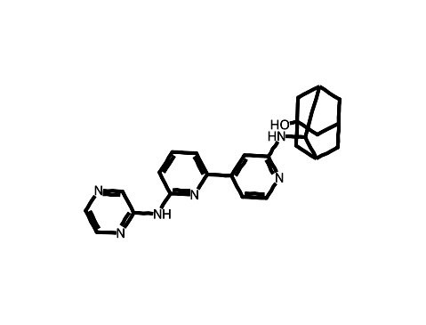 OC12CC3CC(C1)C(Nc1cc(-c4cccc(Nc5cnccn5)n4)ccn1)C(C3)C2